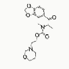 CC(C(=O)c1ccc2c(c1)OCO2)N(C)C(=O)OCCN1CCCOC1